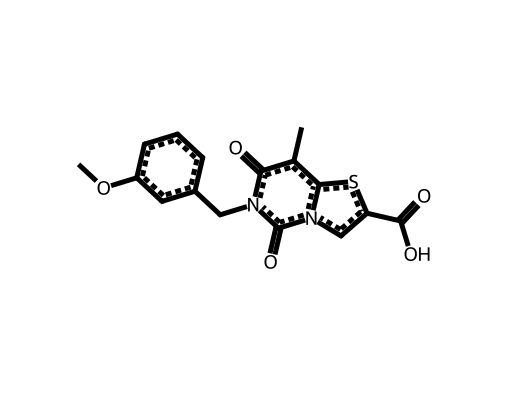 COc1cccc(Cn2c(=O)c(C)c3sc(C(=O)O)cn3c2=O)c1